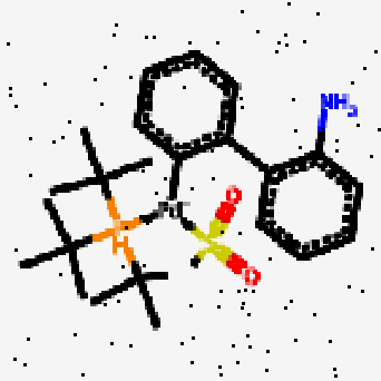 CC(C)(C)[PH]([Pd-]([c]1ccccc1-c1ccccc1N)[S](C)(=O)=O)(C(C)(C)C)C(C)(C)C